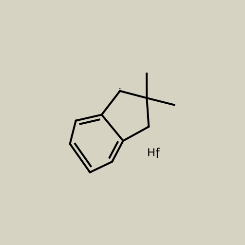 CC1(C)[CH]c2ccccc2C1.[Hf]